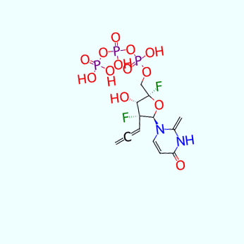 C=C=C[C@]1(F)[C@H](N2C=CC(=O)NC2=C)O[C@](F)(COP(=O)(O)OP(=O)(O)OP(=O)(O)O)[C@H]1O